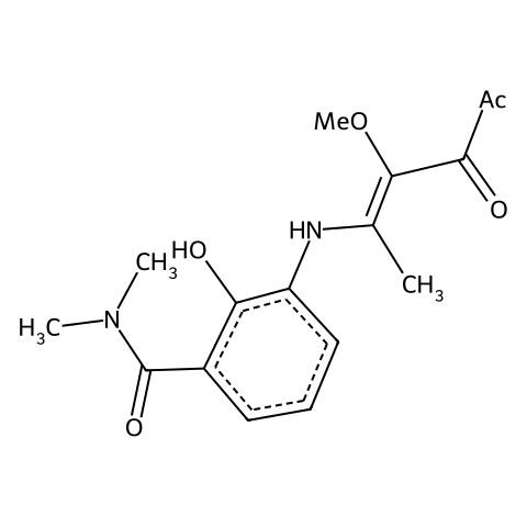 CO/C(C(=O)C(C)=O)=C(/C)Nc1cccc(C(=O)N(C)C)c1O